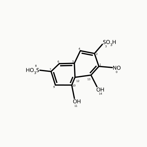 O=Nc1c(S(=O)(=O)O)cc2cc(S(=O)(=O)O)cc(O)c2c1O